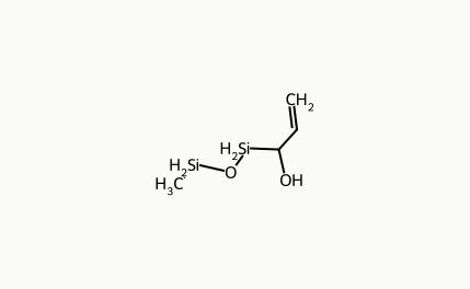 C=CC(O)[SiH2]O[SiH2]C